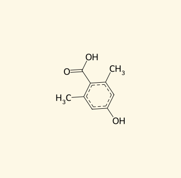 Cc1cc(O)cc(C)c1C(=O)O